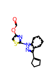 O=COc1csc(-n2nc(C3=CCCC3)c3ccccc32)n1